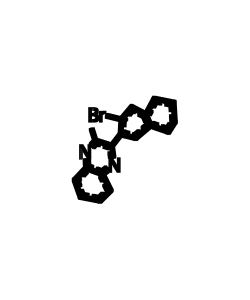 Cc1nc2ccccc2nc1-c1cc2ccccc2cc1Br